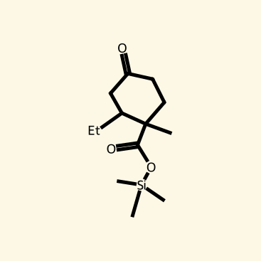 CCC1CC(=O)CCC1(C)C(=O)O[Si](C)(C)C